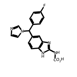 O=C(O)Nc1nc2cc(C(c3ccc(F)cc3)n3ccnc3)ccc2[nH]1